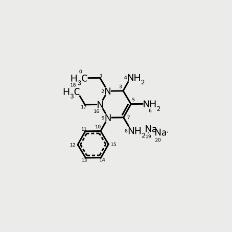 CCN1C(N)C(N)=C(N)N(c2ccccc2)N1CC.[Na].[Na]